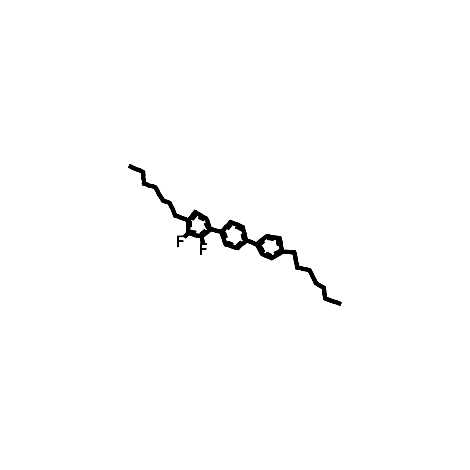 CCCCCCCc1ccc(-c2ccc(-c3ccc(CCCCCCC)c(F)c3F)cc2)cc1